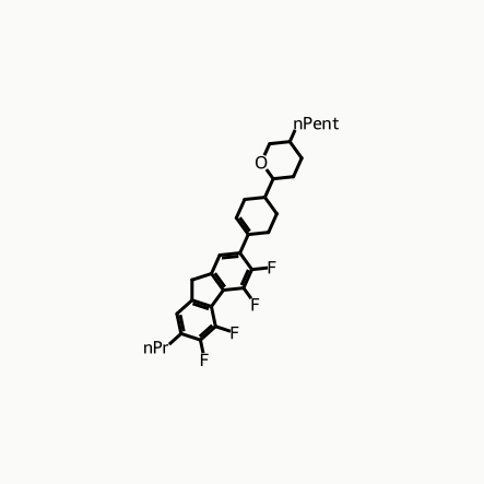 CCCCCC1CCC(C2CC=C(c3cc4c(c(F)c3F)-c3c(cc(CCC)c(F)c3F)C4)CC2)OC1